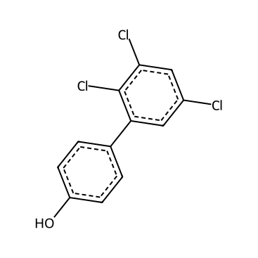 Oc1ccc(-c2cc(Cl)cc(Cl)c2Cl)cc1